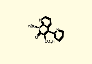 CCCCn1c(=O)c(C(=O)O)c(-c2ccccn2)c2cccnc21